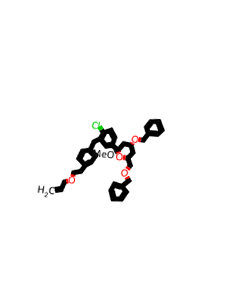 C=CCOCCc1ccc(Cc2cc(C3(OC)CC(OCc4ccccc4)CC(COCc4ccccc4)O3)ccc2Cl)cc1